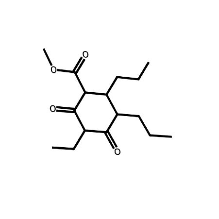 CCCC1C(=O)C(CC)C(=O)C(C(=O)OC)C1CCC